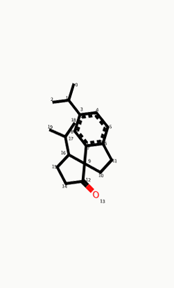 CC(C)c1ccc2c(c1)C1(CC2)C(=O)CCC1C(C)C